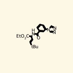 CCOC(=O)C(C=CC(C)(C)C)NC(=O)c1cccc(-n2cnnc2)c1